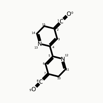 O=C=C1C=C(C2=CC(=C=O)CC=N2)N=CC1